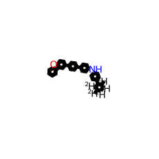 [2H]c1c([2H])c([2H])c(-c2ccc(Nc3ccc(-c4ccc(-c5ccc6oc7ccccc7c6c5)cc4)cc3)cc2)c([2H])c1[2H]